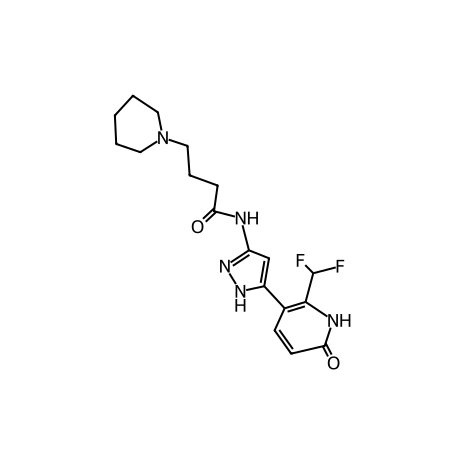 O=C(CCCN1CCCCC1)Nc1cc(-c2ccc(=O)[nH]c2C(F)F)[nH]n1